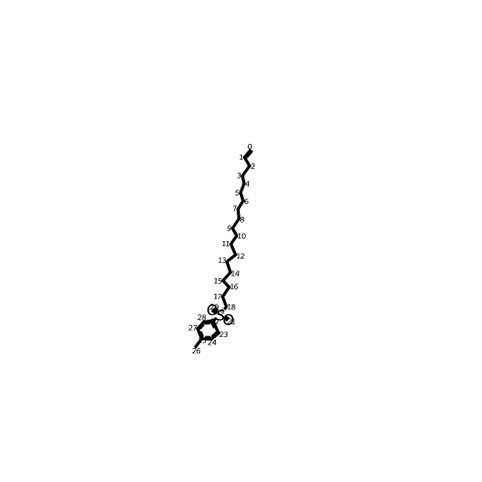 C=CCCCCCCCCCCCCCCCCCS(=O)(=O)c1ccc(C)cc1